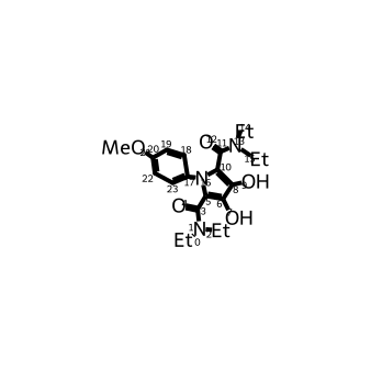 CCN(CC)C(=O)c1c(O)c(O)c(C(=O)N(CC)CC)n1-c1ccc(OC)cc1